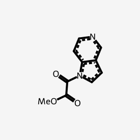 COC(=O)C(=O)n1ccc2cnccc21